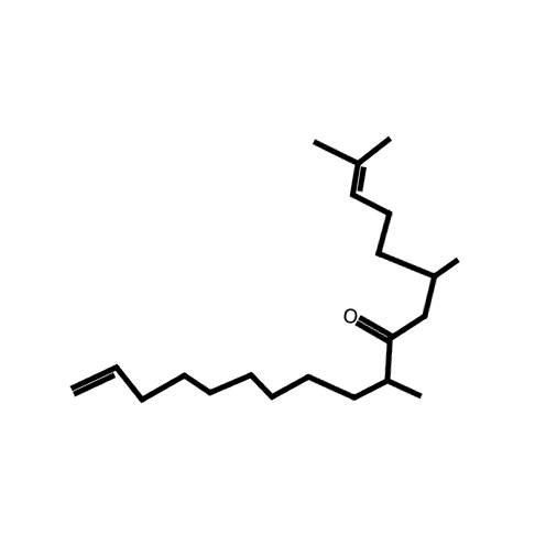 C=CCCCCCCCC(C)C(=O)CC(C)CCC=C(C)C